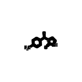 O=C(c1ccc(C(F)(F)F)cc1)n1cc[nH]c1=O